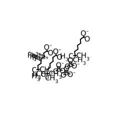 CC(C)(C)CCCCCC(=O)[O-].CC(C)(C)CCCCCC(=O)[O-].CC(C)(C)CCCCCC(=O)[O-].[Fe+3].[Fe+3].[Fe+3].[Fe+3].[O-]B([O-])[O-].[O-]B([O-])[O-].[O-]B([O-])[O-]